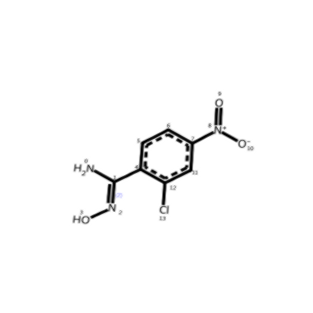 N/C(=N\O)c1ccc([N+](=O)[O-])cc1Cl